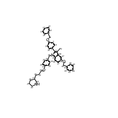 Cc1c(-c2ccc(OCc3ccccc3)cc2)n(Cc2ccc(OCCCC3CCCNC3)cc2)c2ccc(OCc3ccccc3)cc12